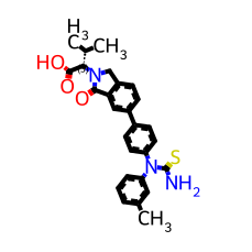 Cc1cccc(N(C(N)=S)c2ccc(-c3ccc4c(c3)C(=O)N([C@H](C(=O)O)C(C)C)C4)cc2)c1